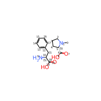 CN1CCC[C@H]1C(=O)O.N[C@@H](Cc1ccccc1)C(=O)O